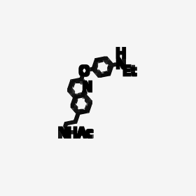 CCNc1ccc(Oc2ccc3cc(CCNC(C)=O)ccc3n2)cc1